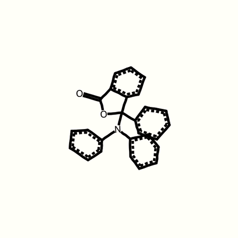 O=C1OC(c2ccccc2)(N(c2ccccc2)c2ccccc2)c2ccccc21